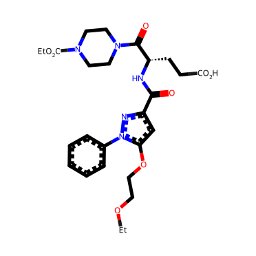 CCOCCOc1cc(C(=O)N[C@@H](CCC(=O)O)C(=O)N2CCN(C(=O)OCC)CC2)nn1-c1ccccc1